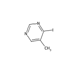 Cc1cncnc1I